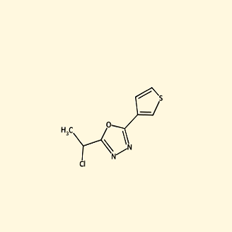 CC(Cl)c1nnc(-c2ccsc2)o1